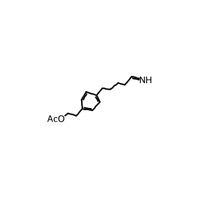 CC(=O)OCCc1ccc(CCCCC=N)cc1